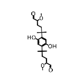 COC(C=O)CCC(C)(C)c1cc(O)c(C(C)(C)CCC(C=O)OC)cc1O